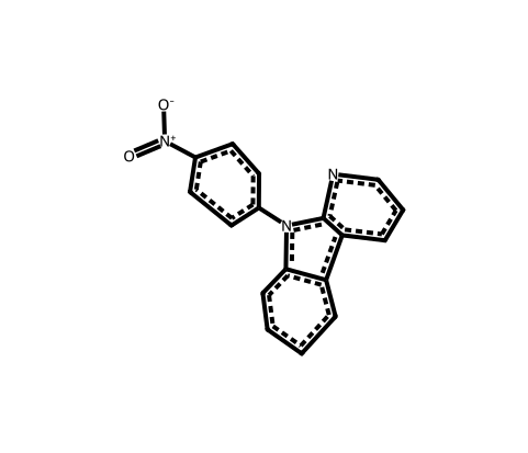 O=[N+]([O-])c1ccc(-n2c3ccccc3c3cccnc32)cc1